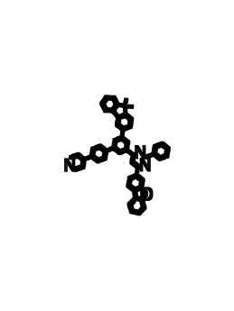 CC1(C)c2ccccc2-c2cc(-c3cc(-c4ccc(-c5ccncc5)cc4)cc(-c4cc(-c5ccc6c(c5)oc5ccccc56)nc(-c5ccccc5)n4)c3)ccc21